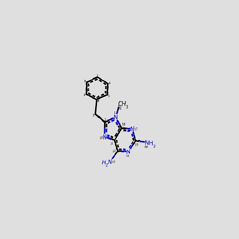 Cn1c(Cc2ccccc2)nc2c(N)nc(N)nc21